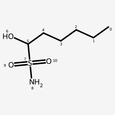 CCCCCC(O)S(N)(=O)=O